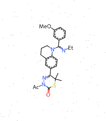 CCN=C(c1cccc(OC)c1)N1CCCc2cc(C3=NN(C(C)=O)C(=O)SC3(C)C)ccc21